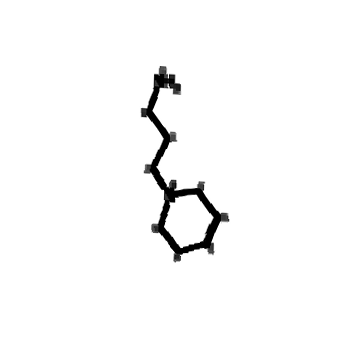 NCCCN1CC[CH]CC1